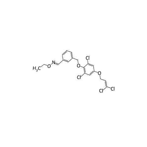 CCON=Cc1cccc(COc2c(Cl)cc(OCC=C(Cl)Cl)cc2Cl)c1